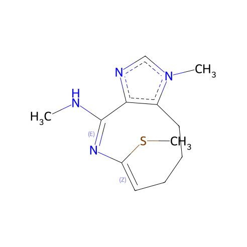 CN/C1=N/C(SC)=C/CCCc2c1ncn2C